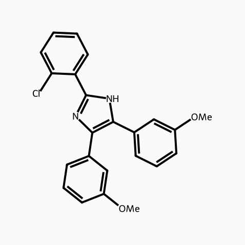 COc1cccc(-c2nc(-c3ccccc3Cl)[nH]c2-c2cccc(OC)c2)c1